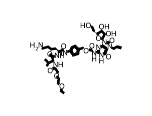 C=CCn1c(=O)n([C@@H]2O[C@H](CCO)[C@@H](O)[C@H]2O)c2nc(NC(=O)OCc3ccc(NC(=O)[C@H](CCCCN)NC(=O)C(NC(=O)COCCOCC)C(C)C)cc3)[nH]c(=O)c21